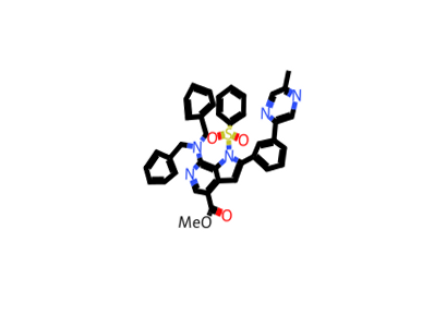 COC(=O)c1cnc(N(Cc2ccccc2)Cc2ccccc2)c2c1cc(-c1cccc(-c3cnc(C)cn3)c1)n2S(=O)(=O)c1ccccc1